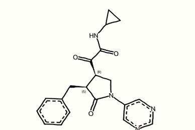 O=C(NC1CC1)C(=O)[C@H]1CN(c2cncnc2)C(=O)[C@H]1Cc1ccccc1